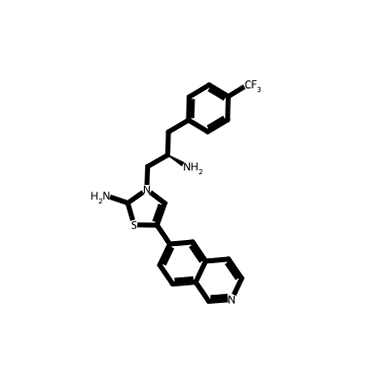 NC1SC(c2ccc3cnccc3c2)=CN1C[C@H](N)Cc1ccc(C(F)(F)F)cc1